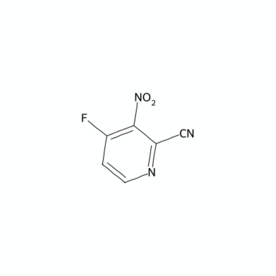 N#Cc1nccc(F)c1[N+](=O)[O-]